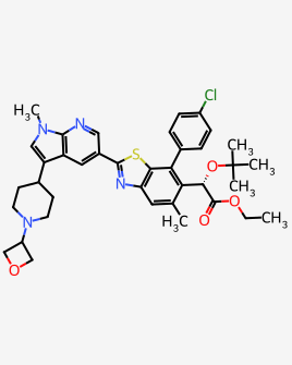 CCOC(=O)[C@@H](OC(C)(C)C)c1c(C)cc2nc(-c3cnc4c(c3)c(C3CCN(C5COC5)CC3)cn4C)sc2c1-c1ccc(Cl)cc1